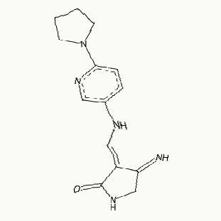 N=C1CNC(=O)/C1=C/Nc1ccc(N2CCCC2)nc1